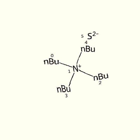 CCCC[N+](CCCC)(CCCC)CCCC.[S-2]